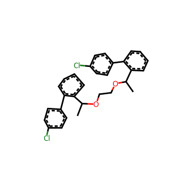 CC(OCCOC(C)c1ccccc1-c1ccc(Cl)cc1)c1ccccc1-c1ccc(Cl)cc1